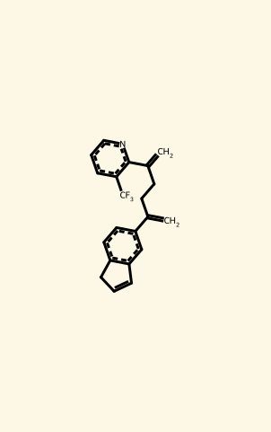 C=C(CCC(=C)c1ncccc1C(F)(F)F)c1ccc2c(c1)C=CC2